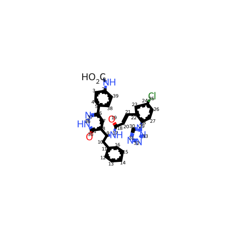 O=C(O)Nc1ccc(-c2cc(C(Cc3ccccc3)NC(=O)C=Cc3cc(Cl)ccc3-n3cnnn3)c(=O)[nH]n2)cc1